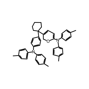 Cc1ccc(N(C2=CC=C(C3(c4ccc(N(c5ccc(C)cc5)c5ccc(C)cc5)cc4)CCCCC3)CO2)c2ccc(C)cc2)cc1